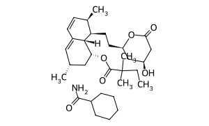 CCC(C)(C)C(=O)O[C@@H]1C[C@H](C)C=C2C=C[C@@H](C)[C@@H](CC[C@@H]3C[C@H](O)CC(=O)O3)[C@@H]21.NC(=O)C1CCCCC1